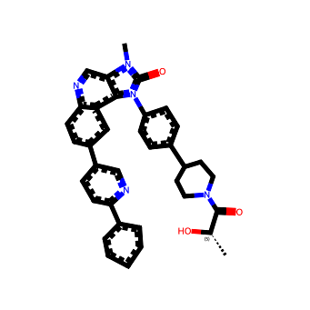 C[C@H](O)C(=O)N1CCC(c2ccc(-n3c(=O)n(C)c4cnc5ccc(-c6ccc(-c7ccccc7)nc6)cc5c43)cc2)CC1